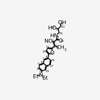 CCN(CC)c1ccc2cc(-c3ccc(/C(C)=C(\C#N)C(=O)NCC(O)CO)o3)ccc2c1